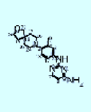 Cc1cc(Nc2nccc(N)n2)ccc1N1CCC2(CCOC2)CC1